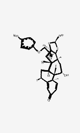 CCC[C@@H]1O[C@@H]2C[C@H]3[C@@H]4C[C@H](F)C5=CC(=O)C=C[C@]5(C)[C@@]4(F)[C@@H](O)C[C@]3(C)[C@]2(C(=O)COc2ccc(NC)cc2)O1